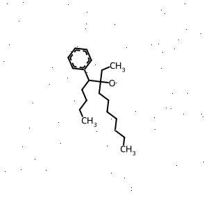 CCCCCCCC([O])(CC)C(CCCC)c1ccccc1